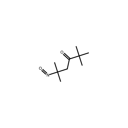 CC(C)(CC(=O)C(C)(C)C)N=O